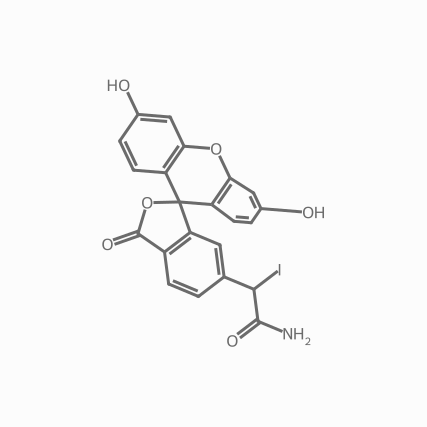 NC(=O)C(I)c1ccc2c(c1)C1(OC2=O)c2ccc(O)cc2Oc2cc(O)ccc21